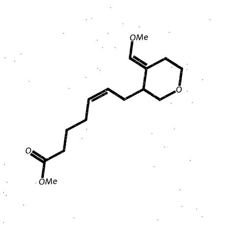 COC=C1CCOCC1C/C=C\CCCC(=O)OC